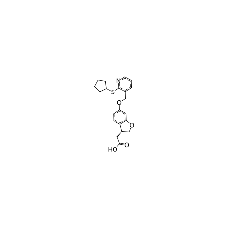 O=C(O)C[C@@H]1COc2cc(OCc3cccnc3SC3CCCC3)ccc21